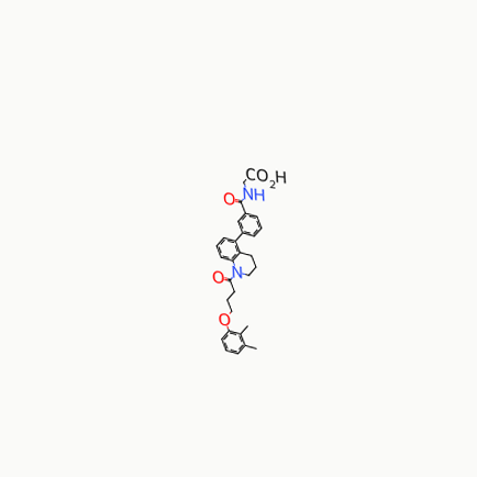 Cc1cccc(OCCCC(=O)N2CCCc3c(-c4cccc(C(=O)NCC(=O)O)c4)cccc32)c1C